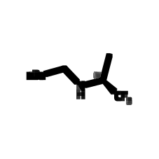 CCCCCN[C@@H](C)C(F)(F)F